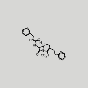 O=C(NCc1ccccc1)NC1C(=O)N2C(C(=O)O)=C(CSc3ncccn3)CS[C@H]12